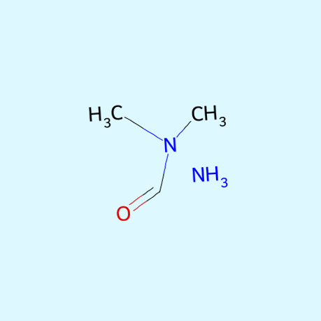 CN(C)C=O.N